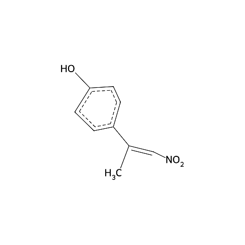 CC(=C[N+](=O)[O-])c1ccc(O)cc1